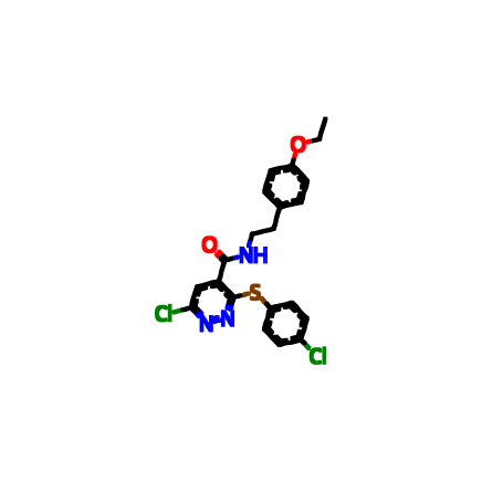 CCOc1ccc(CCNC(=O)c2cc(Cl)nnc2Sc2ccc(Cl)cc2)cc1